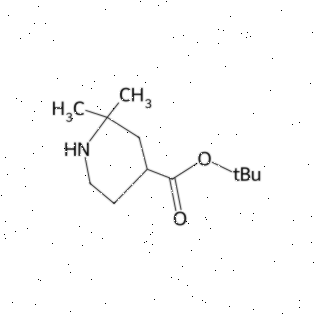 CC1(C)CC(C(=O)OC(C)(C)C)CCN1